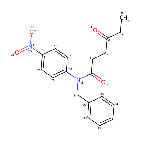 CCC(=O)CCC(=O)N(Cc1ccccc1)c1ccc([N+](=O)[O-])cc1